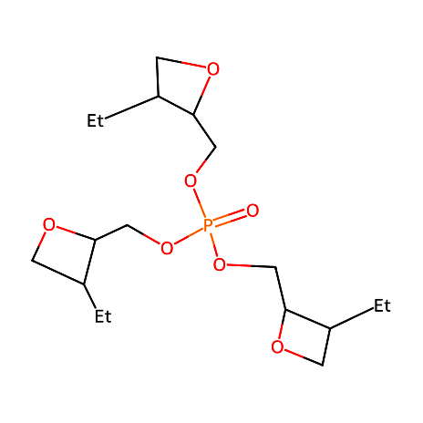 CCC1COC1COP(=O)(OCC1OCC1CC)OCC1OCC1CC